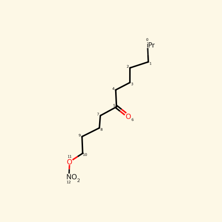 CC(C)CCCCC(=O)CCCCO[N+](=O)[O-]